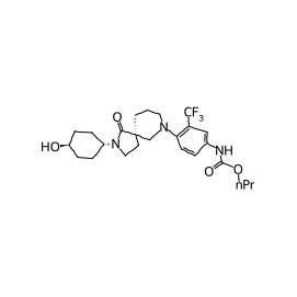 CCCOC(=O)Nc1ccc(N2CCC[C@@]3(CCN([C@H]4CC[C@H](O)CC4)C3=O)C2)c(C(F)(F)F)c1